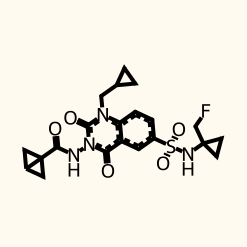 O=C(Nn1c(=O)c2cc(S(=O)(=O)NC3(CF)CC3)ccc2n(CC2CC2)c1=O)C12CC1C2